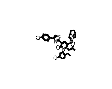 CCc1ccc(Cl)cc1-n1c(C=C(C)C)c(C(=O)N2CC3CCC(C2)N3)cc(-c2nc(-c3ccc(Cl)cc3)cs2)c1=O